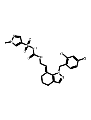 Cn1cc(S(=O)(=O)NC(=O)NC/C=C2\CCCc3cnn(Cc4ccc(Cl)cc4Cl)c32)cn1